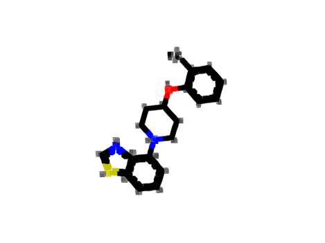 FC(F)(F)c1ccccc1OC1CCN(c2cccc3scnc23)CC1